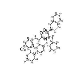 CN1CCN(c2ccc(CN(C(=O)C=Cc3ccc(Cl)cn3)C(Cc3ccccc3)C(=O)N3CCc4ccccc4C3)cc2)CC1